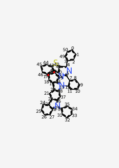 c1ccc(-c2nc(-c3ccccc3-n3c4ccccc4c4cc5c6ccccc6n(-c6ccccc6)c5cc43)nc3c2sc2ccccc23)cc1